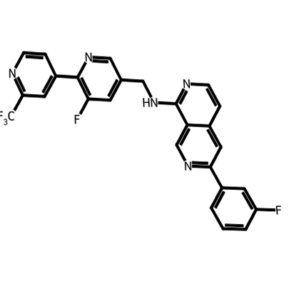 Fc1cccc(-c2cc3ccnc(NCc4cnc(-c5ccnc(C(F)(F)F)c5)c(F)c4)c3cn2)c1